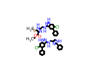 CCOC(=O)c1nc(CNc2n[nH]c3cc(Cl)c(-c4ccccc4)cc23)[nH]c1SC.Clc1cc2[nH]nc(NCc3c[nH]c(-c4ccccc4)n3)c2cc1-c1ccccc1